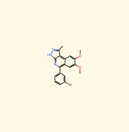 COc1cc2c(-c3cccc(Br)c3)nc3[nH]nc(C)c3c2cc1OC